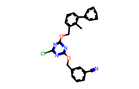 Cc1c(COc2nc(Cl)nc(OCc3cccc(C#N)c3)n2)cccc1-c1ccccc1